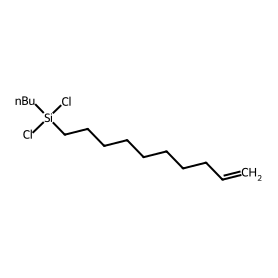 C=CCCCCCCCC[Si](Cl)(Cl)CCCC